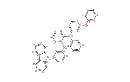 c1ccc(Oc2cccc(N(c3ccccc3)c3ccccc3Oc3cccc(-n4c5ccccc5c5ccccc54)c3)c2)cc1